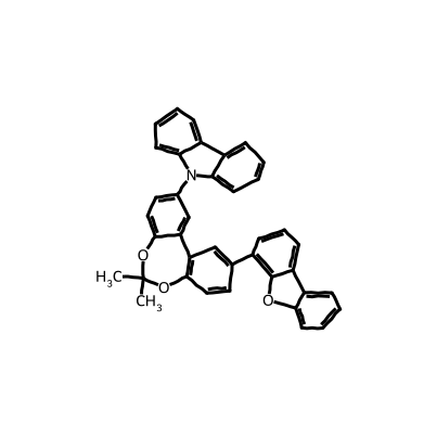 CC1(C)Oc2ccc(-c3cccc4c3oc3ccccc34)cc2-c2cc(-n3c4ccccc4c4ccccc43)ccc2O1